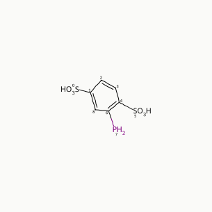 O=S(=O)(O)c1ccc(S(=O)(=O)O)c(P)c1